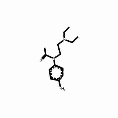 CCN(CC)CCN(C(C)=O)c1ccc(N)cc1